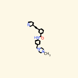 CN1CCN(Cc2ccc(NC(=O)c3cccc(C#Cc4cccnc4)c3)cc2)CC1